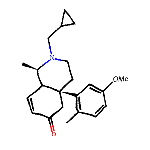 COc1ccc(C)c([C@]23CCN(CC4CC4)[C@H](C)C2C=CC(=O)C3)c1